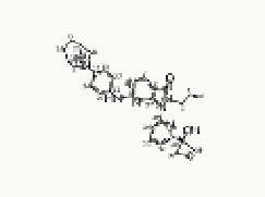 C=CCn1c(=O)c2cnc(Nc3ccc(N4CC5CCC(C4)N5C)cc3)nc2n1-c1cccc(C2(O)COC2)n1